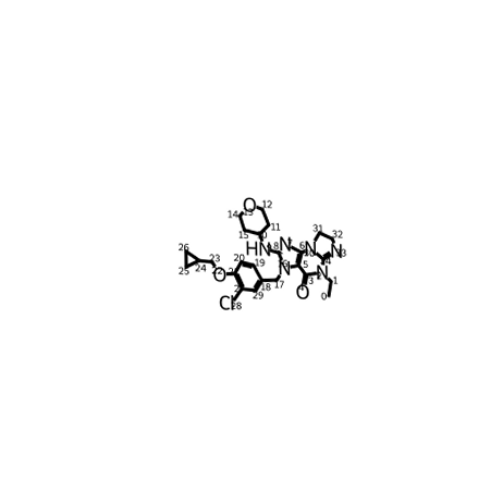 CCN1C(=O)c2c(nc(NC3CCOCC3)n2Cc2ccc(OCC3CC3)c(Cl)c2)N2CCN=C12